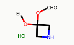 CCOC1(OC=O)CNC1.Cl